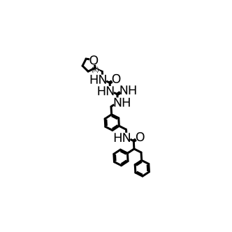 N=C(NCc1cccc(CNC(=O)C(Cc2ccccc2)c2ccccc2)c1)NC(=O)NC[C@H]1CCCO1